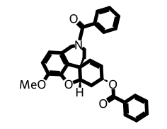 COc1ccc2c3c1O[C@H]1C[C@@H](OC(=O)c4ccccc4)C=C[C@@]31CCN(C(=O)c1ccccc1)C2